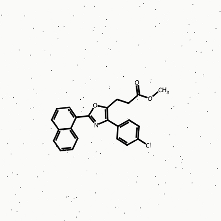 COC(=O)CCc1oc(-c2cccc3ccccc23)nc1-c1ccc(Cl)cc1